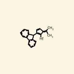 CC(C)=C1C=CC(C2c3ccccc3-c3ccccc32)=[C]1[Hf]